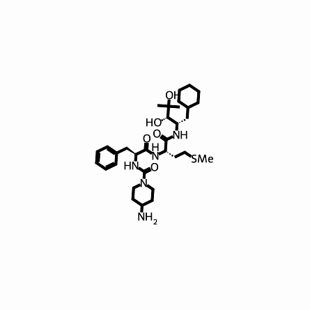 CSCC[C@H](NC(=O)[C@H](Cc1ccccc1)NC(=O)N1CCC(N)CC1)C(=O)N[C@@H](CC1CCCCC1)[C@H](O)C(C)(C)O